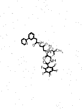 CC(C)C[C@H](NC(=O)c1c(F)c(F)c(F)c(F)c1F)C(=O)NCC(=O)CNC(=O)Cc1cccc(-c2ccccn2)c1